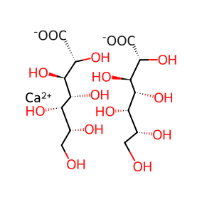 O=C([O-])[C@H](O)[C@H](O)[C@H](O)[C@@H](O)[C@H](O)CO.O=C([O-])[C@H](O)[C@H](O)[C@H](O)[C@@H](O)[C@H](O)CO.[Ca+2]